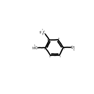 CCc1ccc(O)c(C(F)(F)F)c1